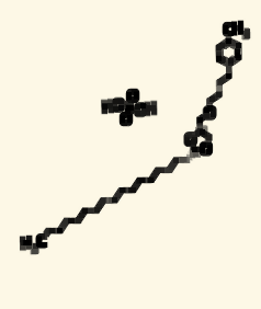 CCCCCCCCCCCCCCCCC[C@H]1OC[C@H](COCCCCc2ccc(C)cc2)O1.O=S(=O)(O)O